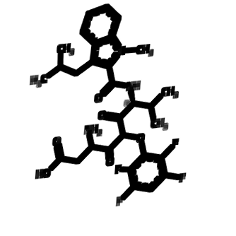 CC(C)Cc1c(C(=O)N[C@H](C(=O)C(Oc2c(F)c(F)cc(F)c2F)C(=O)C(N)CC(=O)O)C(C)C)n(C)c2ccccc12